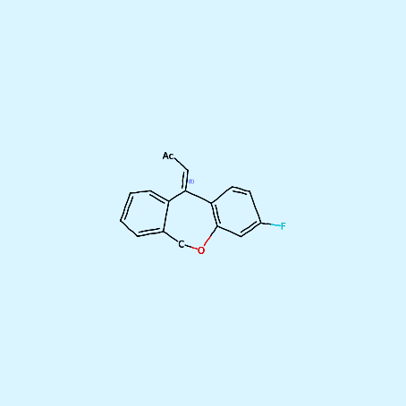 CC(=O)/C=C1\c2ccccc2COc2cc(F)ccc21